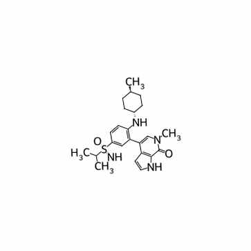 CC(C)S(=N)(=O)c1ccc(N[C@H]2CC[C@H](C)CC2)c(-c2cn(C)c(=O)c3[nH]ccc23)c1